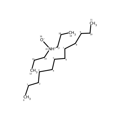 CCCCCCCCCCCC.CCC[NH+]([O-])CCC